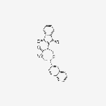 O=C1NCC(c2ccc3ccccc3c2)SCC1N1C(=O)c2ccccc2C1=O